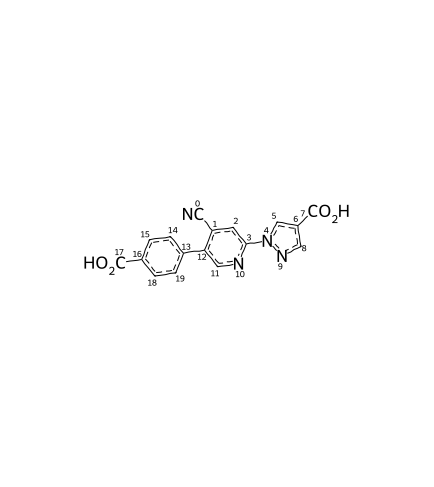 N#Cc1cc(-n2cc(C(=O)O)cn2)ncc1-c1ccc(C(=O)O)cc1